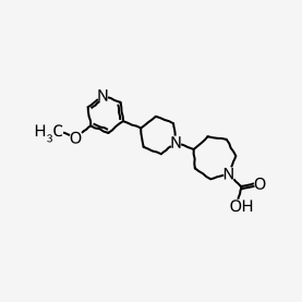 COc1cncc(C2CCN(C3CCCN(C(=O)O)CC3)CC2)c1